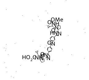 COC(=O)NC(C(=O)N1CCC[C@H]1c1ncc(-c2ccc3oc(-c4ccc(-c5cnc([C@@H]6CCCN6C(=O)C(NC(=O)O)C6CC6)[nH]5)cc4)nc3c2)[nH]1)C1CC1